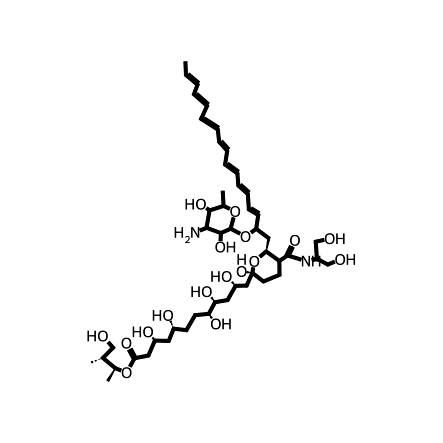 C/C=C/C=C/C=C/C=C/C=C/C=C/C=C/C(C[C@@H]1O[C@](O)(C[C@@H](O)C[C@@H](O)[C@H](O)CC[C@@H](O)C[C@@H](O)CC(=O)O[C@@H](C)[C@H](C)CO)CCC1C(=O)NC(CO)CO)OC1OC(C)C(O)C(N)C1O